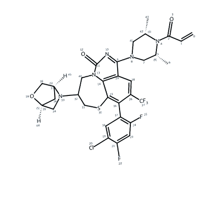 C=CC(=O)N1[C@H](C)CN(c2nc(=O)n3c4c(c(-c5cc(Cl)c(F)cc5F)c(C(F)(F)F)cc24)SCC(N2C[C@@H]4C[C@H]2CO4)C3)C[C@@H]1C